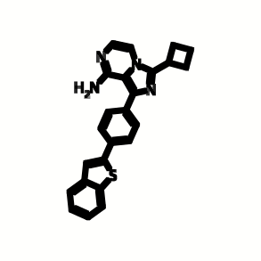 Nc1nccn2c(C3CCC3)nc(-c3ccc(-c4cc5ccccc5s4)cc3)c12